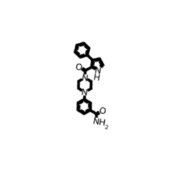 NC(=O)c1cccc(N2CCN(C(=O)c3[nH]ccc3-c3ccccc3)CC2)c1